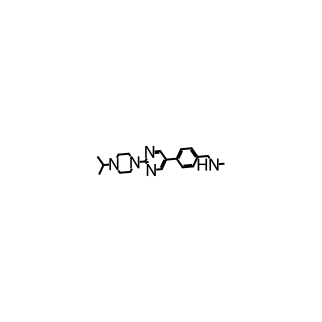 CNCc1ccc(-c2cnc(N3CCN(C(C)C)CC3)nc2)cc1